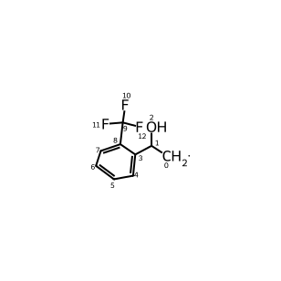 [CH2]C(O)c1ccccc1C(F)(F)F